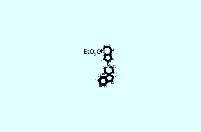 CCOC(=O)N1CCCC2CC(N3CCC4(CCc5ccccc54)CC3)CC21